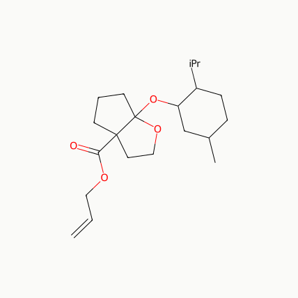 C=CCOC(=O)C12CCCC1(OC1CC(C)CCC1C(C)C)OCC2